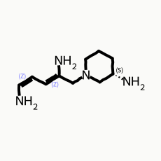 N/C=C\C=C(/N)CN1CCC[C@H](N)C1